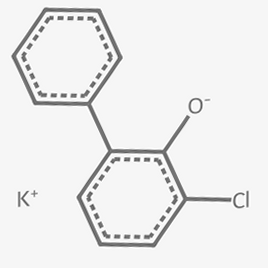 [K+].[O-]c1c(Cl)cccc1-c1ccccc1